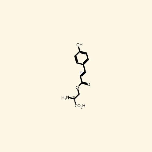 N[C@@H](COC(=O)/C=C/c1ccc(O)cc1)C(=O)O